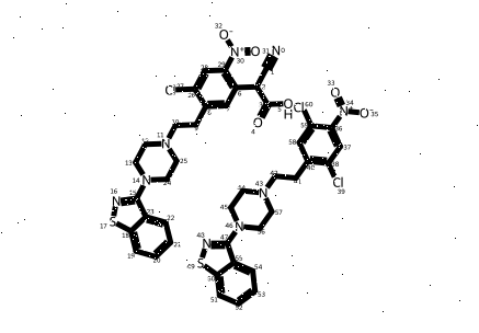 N#CC(C(=O)O)c1cc(CCN2CCN(c3nsc4ccccc34)CC2)c(Cl)cc1[N+](=O)[O-].O=[N+]([O-])c1cc(Cl)c(CCN2CCN(c3nsc4ccccc34)CC2)cc1Cl